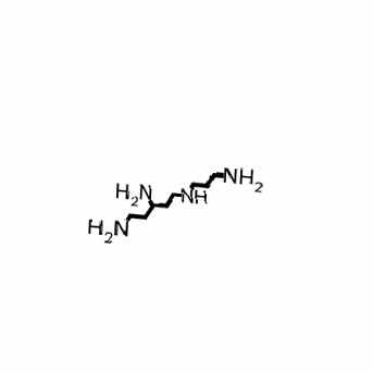 NCCCNCCC(N)CCN